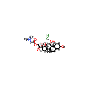 CCN(CC)CC(=O)OCC(=O)[C@@]1(O)CC[C@H]2[C@@H]3CCC4=CC(=O)CC[C@]4(C)[C@H]3[C@@H](O)C[C@@]21C.Cl